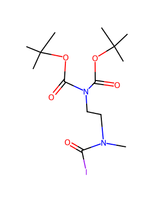 CN(CCN(C(=O)OC(C)(C)C)C(=O)OC(C)(C)C)C(=O)I